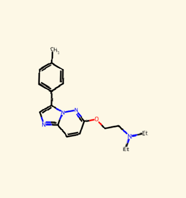 CCN(CC)CCOc1ccc2ncc(-c3ccc(C)cc3)n2n1